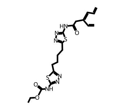 C=C/C=C(\C=C)CC(=O)Nc1nnc(CCCCc2nnc(NC(=O)OCC)s2)s1